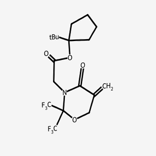 C=C1COC(C(F)(F)F)(C(F)(F)F)N(CC(=O)OC2(C(C)(C)C)CCCC2)C1=O